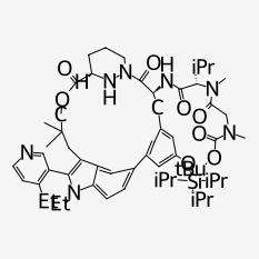 CCc1ccncc1-c1c2c3cc(ccc3n1CC)-c1cc(cc(O[Si](C(C)C)(C(C)C)C(C)C)c1)C[C@H](NC(=O)[C@H](C(C)C)N(C)C(=O)CN(C)C(=O)OC(C)(C)C)C(=O)N1CCC[C@H](N1)C(=O)OCC(C)(C)C2